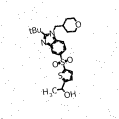 CC(O)c1ccc(S(=O)(=O)c2ccc3c(c2)nc(C(C)(C)C)n3CC2CCOCC2)s1